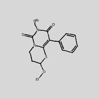 CCCn1c(=O)c(-c2ccccc2)c2n(c1=O)CCC(OCC)S2